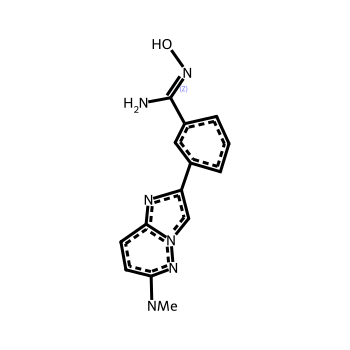 CNc1ccc2nc(-c3cccc(/C(N)=N/O)c3)cn2n1